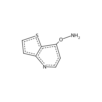 NOc1ccnc2ccsc12